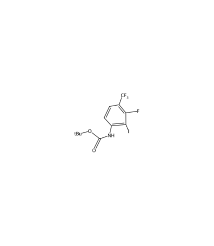 CC(C)(C)OC(=O)Nc1ccc(C(F)(F)F)c(F)c1I